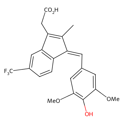 COc1cc(/C=C2/C(C)=C(CC(=O)O)c3cc(C(F)(F)F)ccc32)cc(OC)c1O